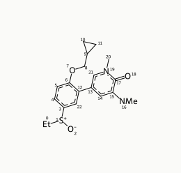 CC[S+]([O-])c1ccc(OCC2CC2)c(-c2cc(NC)c(=O)n(C)c2)c1